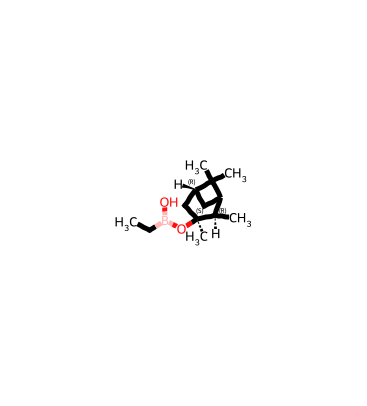 CCB(O)O[C@@]1(C)C[C@H]2CC([C@H]1C)C2(C)C